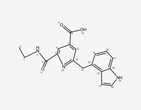 CCNC(=O)c1cc(C(=O)O)cc(Cc2cccc3[nH]ccc23)n1